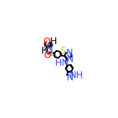 O=C([C@H]1CCc2c(sc3ncnc(Nc4ccc5[nH]ncc5c4)c23)C1)N1C[C@@H]2C[C@H]1CO2